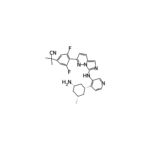 C[C@@H]1C[C@H](N)C[C@H](c2ccncc2Nc2ncc3ccc(-c4c(F)cc(C(C)(C)C#N)cc4F)nn23)C1